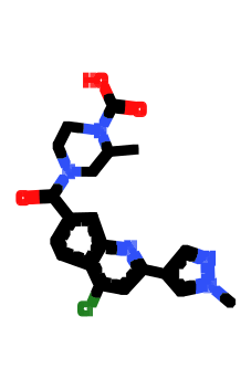 CC1CN(C(=O)c2ccc3c(Cl)cc(-c4cnn(C)c4)nc3c2)CCN1C(=O)O